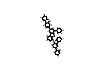 c1ccc(-c2ccc3c(c2)c2ccccc2n3-c2cccc3c2sc2c(-c4ccccc4)cc(-c4ccc5c(c4)oc4ccccc45)cc23)cc1